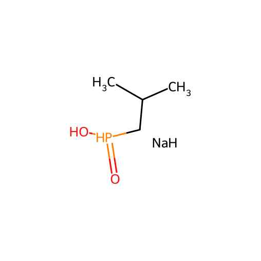 CC(C)C[PH](=O)O.[NaH]